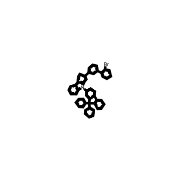 Brc1ccccc1-c1cccc(-c2ccc3c4ccccc4n(-c4ccc5c(c4)C(c4ccccc4)(c4ccccc4)c4ccccc4-5)c3c2)c1